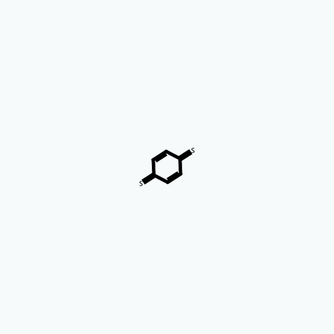 S=C1[C]=CC(=S)C=C1